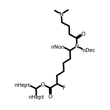 CCCCCCCCCCN(C(=O)CCCN(C)C)C(CCCCCCCCC)CCCCC(F)C(=O)OC(CCCCCCC)CCCCCCC